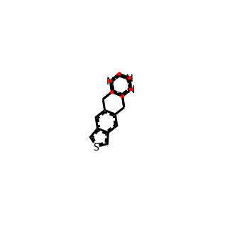 c1cnc2c(c1)C1c3cc4cscc4cc3C2c2cncnc21